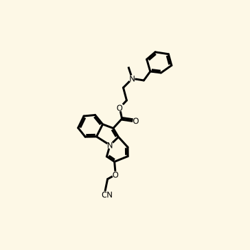 CN(CCOC(=O)c1c2ccccc2n2cc(OCC#N)ccc12)Cc1ccccc1